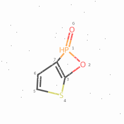 O=[PH]1Oc2sccc21